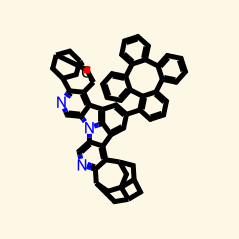 c1ccc2c(c1)-c1ccccc1-c1cccc(-c3cc4c5c6c(ncc5n5c7cnc8c(c7c(c3)c45)C3CC4CC5CC8CC54C3)C3CC4CC(C3)CC6C4)c1-c1ccccc1-2